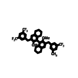 COc1c(Cc2cc(C)cc(C(F)(F)F)c2)cc2c(c1-c1c3c(cc(Cc4cc(C(F)(F)F)cc(C(F)(F)F)c4)c1OC)CCCC3)CCCC2